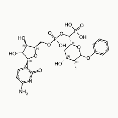 C[C@H]1C(Oc2ccccc2)O[C@@H](C(OP(=O)(O)OC[C@H]2O[C@@H](n3ccc(N)nc3=O)C(O)[C@H]2O)P(=O)(O)O)C[C@H]1O